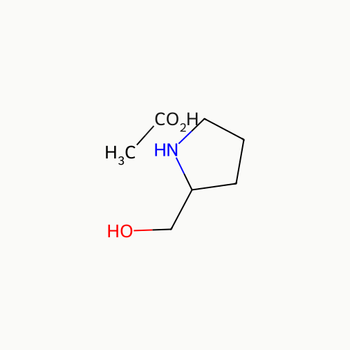 CC(=O)O.OCC1CCCN1